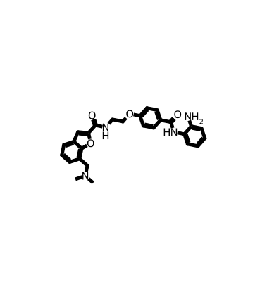 CN(C)Cc1cccc2cc(C(=O)NCCOc3ccc(C(=O)Nc4ccccc4N)cc3)oc12